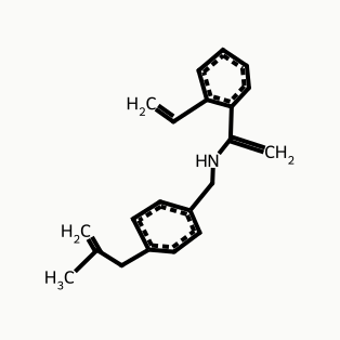 C=Cc1ccccc1C(=C)NCc1ccc(CC(=C)C)cc1